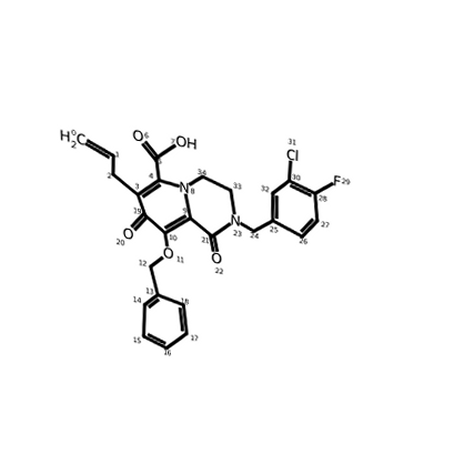 C=CCc1c(C(=O)O)n2c(c(OCc3ccccc3)c1=O)C(=O)N(Cc1ccc(F)c(Cl)c1)CC2